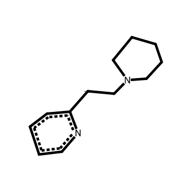 [CH](CN1CCCCC1)c1ccccn1